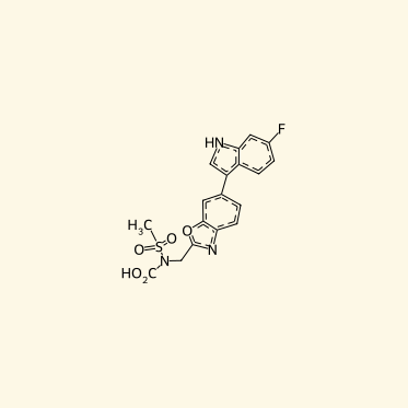 CS(=O)(=O)N(Cc1nc2ccc(-c3c[nH]c4cc(F)ccc34)cc2o1)C(=O)O